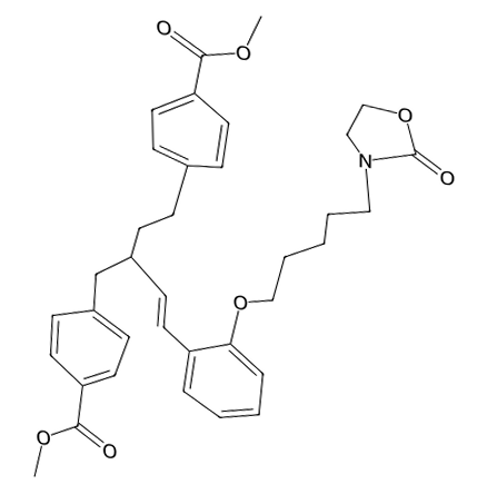 COC(=O)c1ccc(CCC(C=Cc2ccccc2OCCCCCN2CCOC2=O)Cc2ccc(C(=O)OC)cc2)cc1